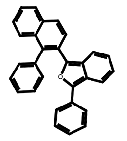 c1ccc(-c2c(-c3oc(-c4ccccc4)c4ccccc34)ccc3ccccc23)cc1